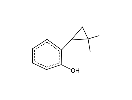 CC1(C)CC1c1ccccc1O